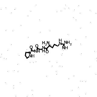 N=C(N)NCCC[C@H](N)C(=O)NCC(=O)NC(=O)[C@H]1CCCN1